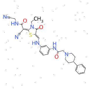 CCn1c(=C(C#N)C(=O)NCC#N)sc(=CNc2cccc(NC(=O)CN3CCC(c4ccccc4)CC3)c2)c1=O